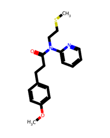 COc1ccc(CCC(=O)N(CCSC)c2ccccn2)cc1